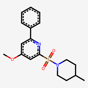 COc1cc(-c2ccccc2)nc(S(=O)(=O)N2CCC(C)CC2)c1